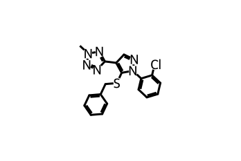 Cn1nnc(-c2cnn(-c3ccccc3Cl)c2SCc2ccccc2)n1